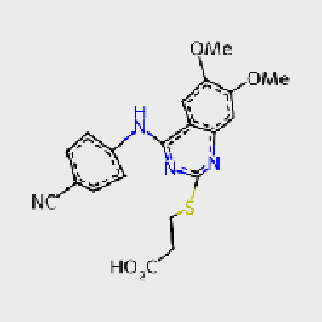 COc1cc2nc(SCCC(=O)O)nc(Nc3ccc(C#N)cc3)c2cc1OC